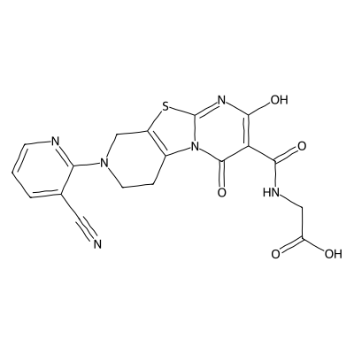 N#Cc1cccnc1N1CCc2c(sc3nc(O)c(C(=O)NCC(=O)O)c(=O)n23)C1